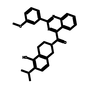 COc1cccc(-c2nc(C(=O)N3CCc4c(ccc(N(C)C)c4O)C3)c3ccccc3n2)c1